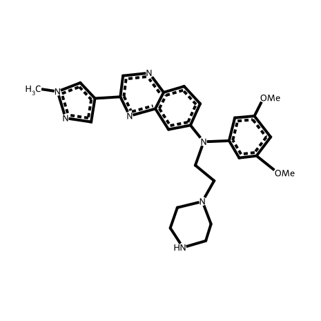 COc1cc(OC)cc(N(CCN2CCNCC2)c2ccc3ncc(-c4cnn(C)c4)nc3c2)c1